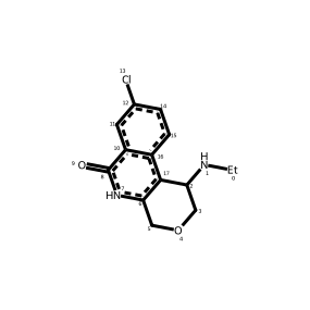 CCNC1COCc2[nH]c(=O)c3cc(Cl)ccc3c21